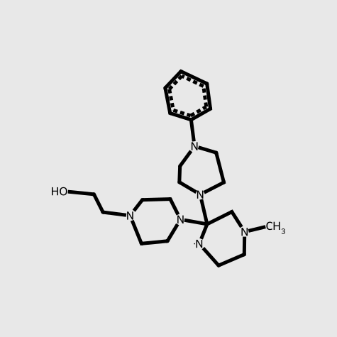 CN1CC[N]C(N2CCN(CCO)CC2)(N2CCN(c3ccccc3)CC2)C1